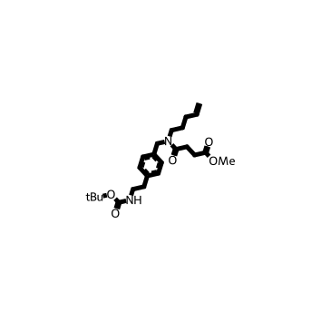 C=CCCCN(Cc1ccc(CCNC(=O)OC(C)(C)C)cc1)C(=O)CCC(=O)OC